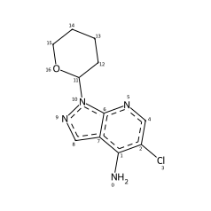 Nc1c(Cl)cnc2c1cnn2C1CCCCO1